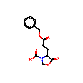 O=C(CCC1C(=O)OCN1C(=O)O)OCc1ccccc1